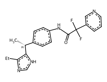 CCc1nc[nH]c1[C@H](C)c1ccc(NC(=O)C(F)(F)c2cccnc2)cc1